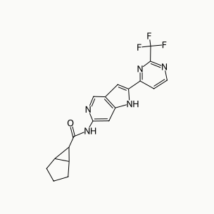 O=C(Nc1cc2[nH]c(-c3ccnc(C(F)(F)F)n3)cc2cn1)C1C2CCCC21